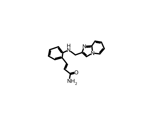 NC(=O)C=Cc1ccccc1NCc1cn2ccccc2n1